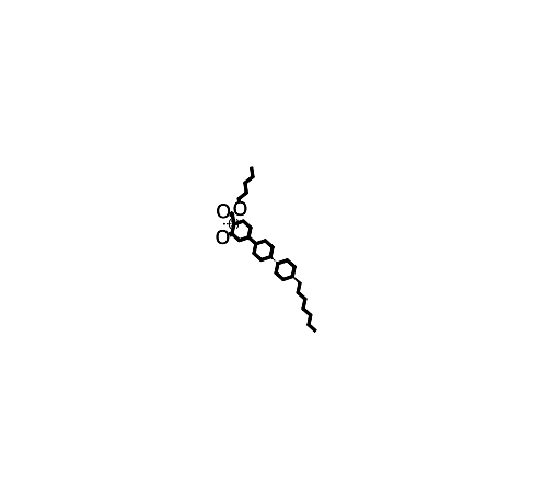 CCCCCCC[C@H]1CC[C@H](C2CCC(C3CC[C@](C)(C(=O)OCCCCC)C(=O)C3)CC2)CC1